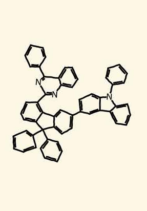 c1ccc(-c2nc(-c3cccc4c3-c3cc(-c5ccc6c(c5)c5ccccc5n6-c5ccccc5)ccc3C4(c3ccccc3)c3ccccc3)nc3ccccc23)cc1